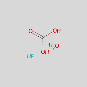 F.O.O=C(O)O